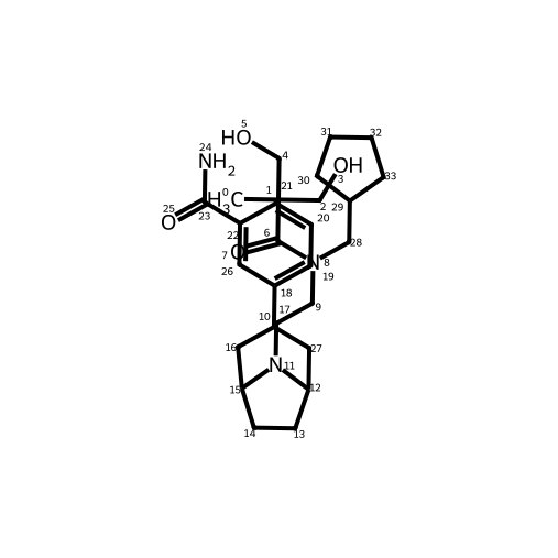 CC(CO)(CO)C(=O)N(CCN1C2CCC1CC(c1cccc(C(N)=O)c1)C2)CC1CCCC1